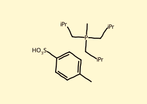 CC(C)C[P](C)(CC(C)C)CC(C)C.Cc1ccc(S(=O)(=O)O)cc1